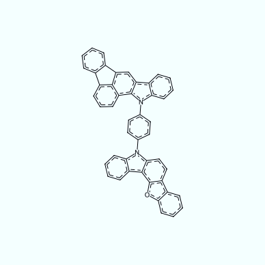 c1ccc2c(c1)-c1cccc3c1c-2cc1c2ccccc2n(-c2ccc(-n4c5ccccc5c5c6oc7ccccc7c6ccc54)cc2)c31